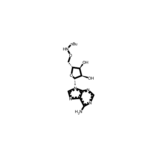 CCCCNOC[C@H]1O[C@@H](n2cnc3c(N)ncnc32)[C@H](O)[C@@H]1O